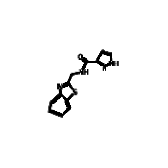 O=C(NCc1nc2ccccc2s1)c1cc[nH]n1